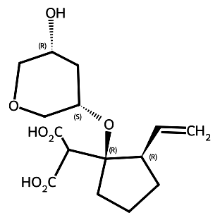 C=C[C@H]1CCC[C@]1(O[C@@H]1COC[C@H](O)C1)C(C(=O)O)C(=O)O